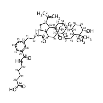 C=C(C)[C@@H]1CC[C@]2(C(=O)NCCc3cccc(C(=O)NCCCCC(=O)O)c3)CC[C@]3(C)C(CCC4[C@@]5(C)CC[C@H](O)C(C)(C)C5CC[C@]43C)C12